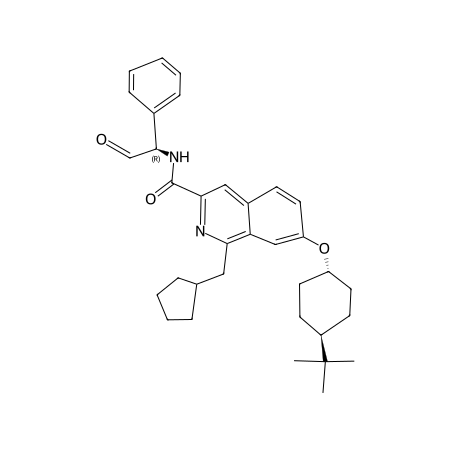 CC(C)(C)[C@H]1CC[C@H](Oc2ccc3cc(C(=O)N[C@@H](C=O)c4ccccc4)nc(CC4CCCC4)c3c2)CC1